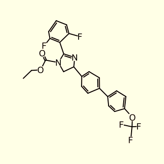 CCOC(=O)N1CC(c2ccc(-c3ccc(OC(F)(F)F)cc3)cc2)N=C1c1c(F)cccc1F